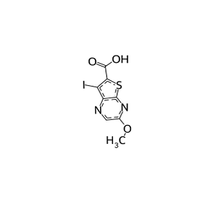 COc1cnc2c(I)c(C(=O)O)sc2n1